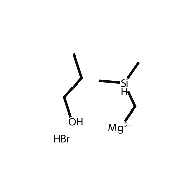 Br.CCCO.C[SiH](C)[CH2][Mg+2]